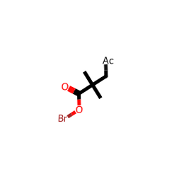 CC(=O)CC(C)(C)C(=O)OBr